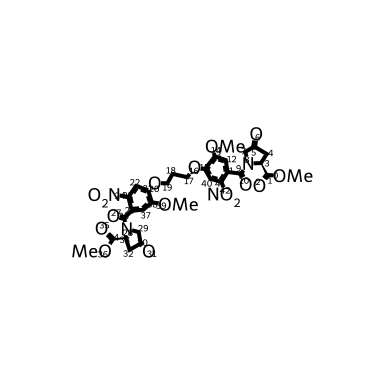 COC(=O)[C@@H]1CC(=O)CN1C(=O)c1cc(OC)c(OCCCOc2cc([N+](=O)[O-])c(C(=O)N3CC(=O)C[C@H]3C(=O)OC)cc2OC)cc1[N+](=O)[O-]